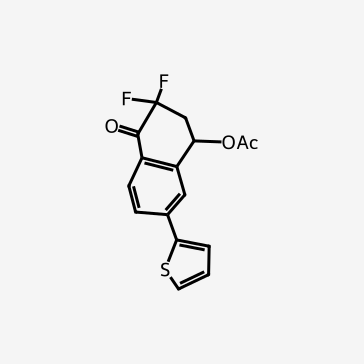 CC(=O)OC1CC(F)(F)C(=O)c2ccc(-c3cccs3)cc21